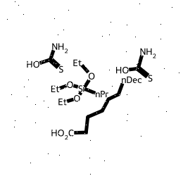 CCCCCCCCCCCCCCCC(=O)O.CCC[Si](OCC)(OCC)OCC.NC(O)=S.NC(O)=S